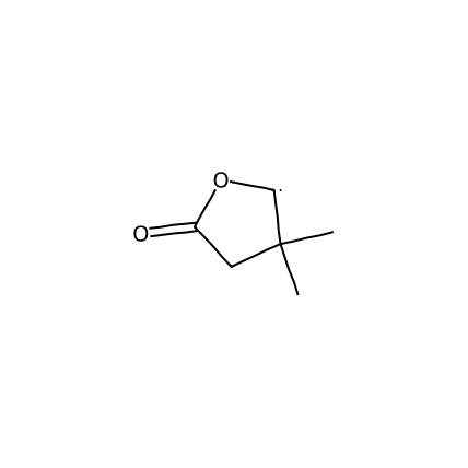 CC1(C)[CH]OC(=O)C1